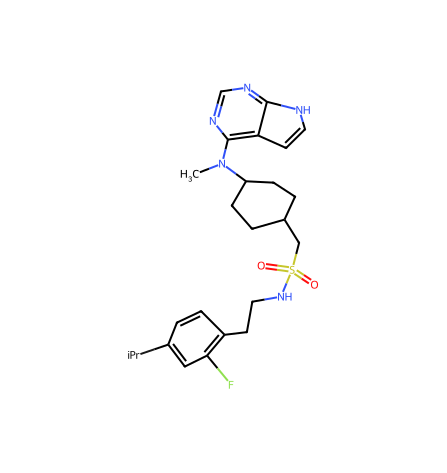 CC(C)c1ccc(CCNS(=O)(=O)CC2CCC(N(C)c3ncnc4[nH]ccc34)CC2)c(F)c1